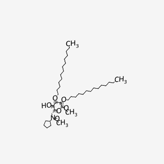 CCCCCCCCCCCCCCO[C@H]1[C@@H](OC)O[C@H](CN(OC)C2CCCC2)[C@@H](O)[C@@H]1OCCCCCCCCCCCCCC